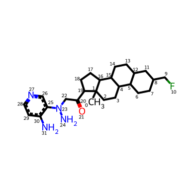 CC12CCC3C4CCC(CF)CC4CCC3C1CCC2C(=O)CN(N)c1cnccc1N